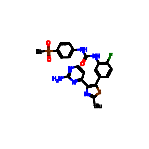 CCS(=O)(=O)c1ccc(NC(=O)Nc2cc(-c3sc(C(C)(C)C)nc3-c3ccnc(N)n3)ccc2F)cc1